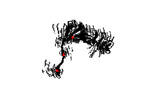 C[C@@H](O)[C@H](N)C(=O)O.N=C(N)NCCC[C@H](N)C(=O)O.N=C(N)NCCC[C@H](N)C(=O)O.NCC(=O)O.NCCCC[C@H](N)C(=O)O.NCCCC[C@H](N)C(=O)O.NCCCC[C@H](N)C(=O)O.N[C@@H](CC(=O)O)C(=O)O.N[C@@H](CO)C(=O)O.N[C@@H](CO)C(=O)O